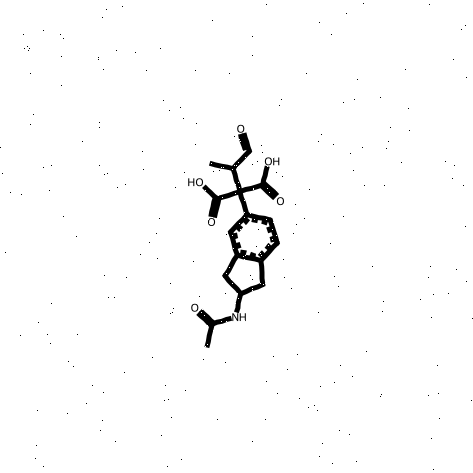 CC(=O)NC1Cc2ccc(C(C(=O)O)(C(=O)O)C(C)C=O)cc2C1